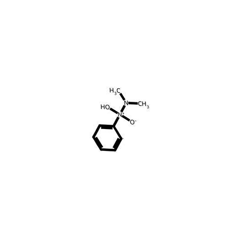 CN(C)[N+]([O-])(O)c1[c]cccc1